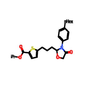 CCCCCCc1ccc(N2C(=O)COC2CCCc2ccc(C(=O)OC(C)C)s2)cc1